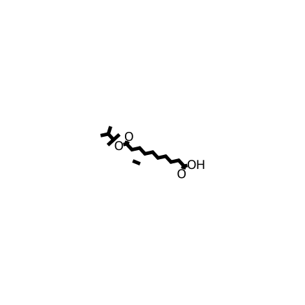 CC.CC(C)C(C)(C)OC(=O)CCCCCCCCC(=O)O